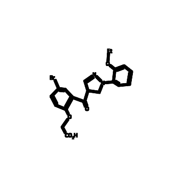 CCOc1ccccc1N1CC(C(=O)c2cc(Br)ccc2OCC(=O)O)C=N1